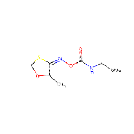 COCNC(=O)ON=C1SCOC1C